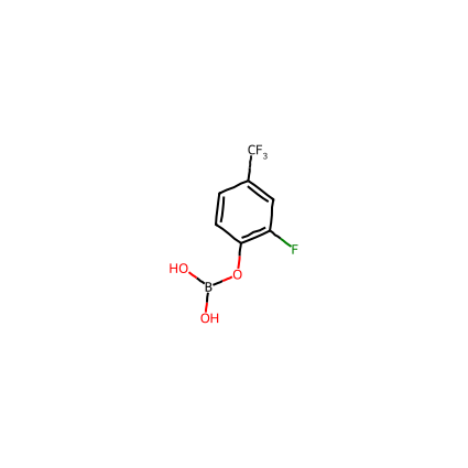 OB(O)Oc1ccc(C(F)(F)F)cc1F